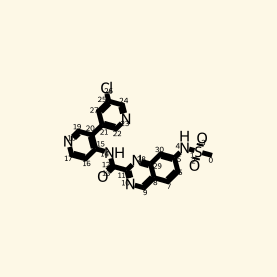 CS(=O)(=O)Nc1ccc2cnc(C(=O)Nc3ccncc3-c3cncc(Cl)c3)nc2c1